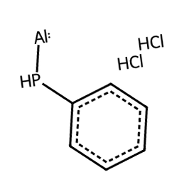 Cl.Cl.[Al][PH]c1ccccc1